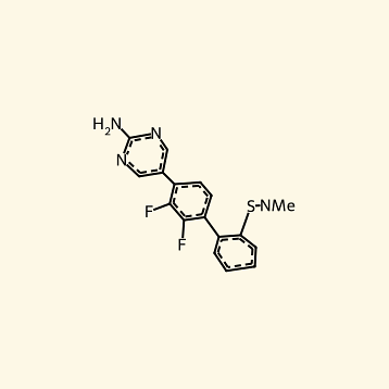 CNSc1ccccc1-c1ccc(-c2cnc(N)nc2)c(F)c1F